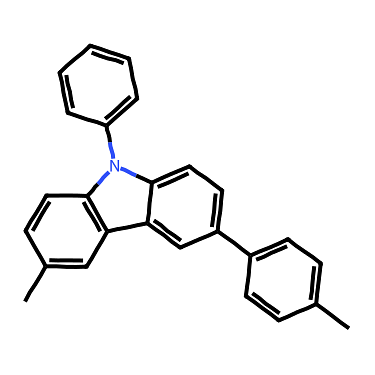 Cc1ccc(-c2ccc3c(c2)c2cc(C)ccc2n3-c2ccccc2)cc1